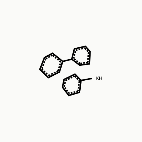 Cc1ccccc1.[KH].c1ccc(-c2ccccc2)cc1